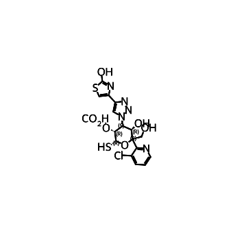 O=C(O)O[C@@H]1[C@@H](n2cc(-c3csc(O)n3)nn2)[C@@H](O)[C@](CO)(c2ncccc2Cl)O[C@@H]1S